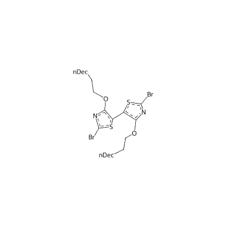 CCCCCCCCCCCCOc1nc(Br)sc1-c1sc(Br)nc1OCCCCCCCCCCCC